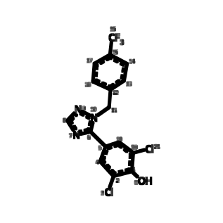 Oc1c(Cl)cc(-c2ncnn2Cc2ccc(C(F)(F)F)cc2)cc1Cl